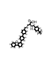 O=C(O)C(CSCc1ccc(-c2ccc(-c3cccc4c3oc3ccccc34)cc2)cc1)NCc1ccc(C(F)(F)F)cc1